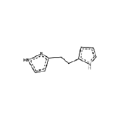 [CH](Cc1ccc[nH]1)c1cc[nH]n1